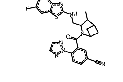 CC1C2CC(C2)N(C(=O)c2cc(C#N)ccc2-n2nccn2)C1CNc1nc2ccc(F)cc2s1